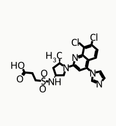 C[C@@H]1C[C@@H](NS(=O)(=O)CCC(=O)O)CN1c1cc(-n2ccnc2)c2ccc(Cl)c(Cl)c2n1